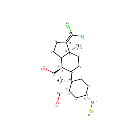 C[C@]12CCC([C@@]3(C)CC[C@H](OS)C[C@@H]3CO)[C@@H](CO)C1CCC2=C(Cl)Cl